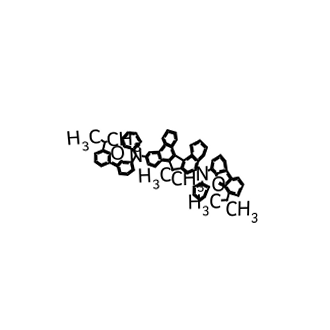 CC(C)c1cccc2c1oc1c(N(c3ccccc3)c3ccc4c5c(c6ccccc6c4c3)-c3c(cc(N(c4ccccc4)c4cccc6c4oc4c(C(C)C)cccc46)c4ccccc34)C5(C)C)cccc12